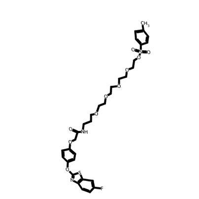 Cc1ccc(S(=O)(=O)OCCOCCOCCOCCOCCCNC(=O)COc2ccc(Oc3nc4ccc(F)cc4s3)cc2)cc1